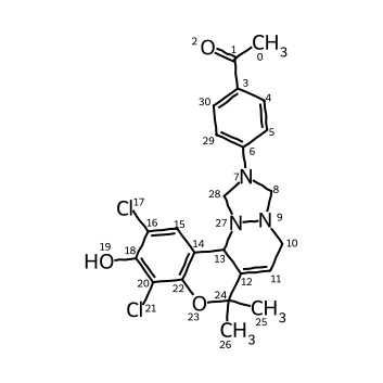 CC(=O)c1ccc(N2CN3CC=C4C(c5cc(Cl)c(O)c(Cl)c5OC4(C)C)N3C2)cc1